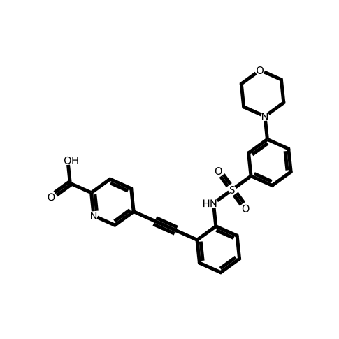 O=C(O)c1ccc(C#Cc2ccccc2NS(=O)(=O)c2cccc(N3CCOCC3)c2)cn1